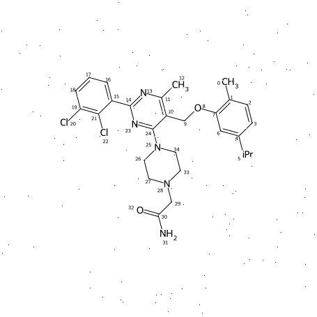 Cc1ccc(C(C)C)cc1OCc1c(C)nc(-c2cccc(Cl)c2Cl)nc1N1CCN(CC(N)=O)CC1